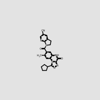 Cc1cc2c(cc1C(=O)N1CCc3cc(C#N)cnc31)[nH]c(=O)c1nnc(C3CCCC3)n12